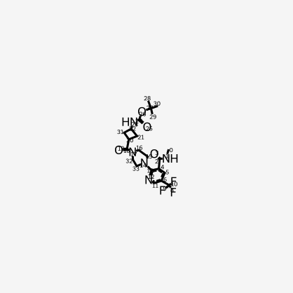 CNC(=O)c1cc(C(F)(F)F)cnc1N1CCN(C(=O)C2CC(NC(=O)OC(C)(C)C)C2)CC1